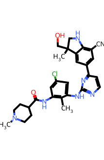 Cc1c(NC(=O)C2CCN(C)CC2)cc(Cl)cc1Nc1nccc(-c2cc(C#N)c3c(c2)C(C)(CO)CN3)n1